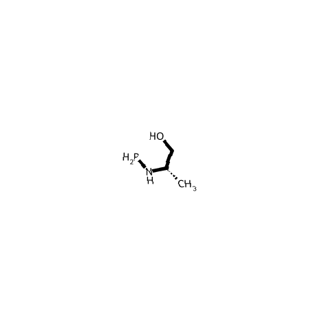 C[C@@H](CO)NP